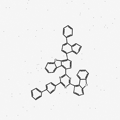 c1ccc(-c2ccc(-c3nc(-c4cccc5oc6ccccc6c45)nc(-c4ccc(-c5ccc(-c6ccccc6)c6ccccc56)c5oc6ccccc6c45)n3)cc2)cc1